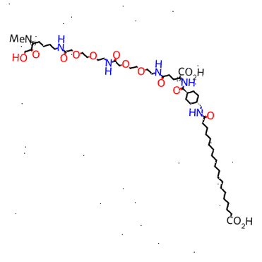 CN[C@@H](CCCCNC(=O)COCCOCCNC(=O)COCCOCCNC(=O)CC[C@H](NC(=O)[C@H]1CC[C@H](CNC(=O)CCCCCCCCCCCCCCCCCCC(=O)O)CC1)C(=O)O)C(=O)CO